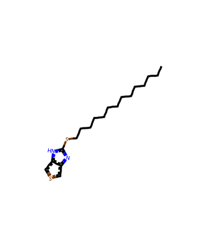 CCCCCCCCCCCCCCSc1nc2cscc2[nH]1